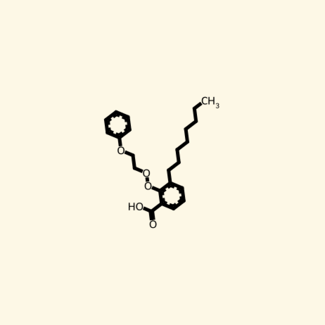 CCCCCCCCc1cccc(C(=O)O)c1OOCCOc1ccccc1